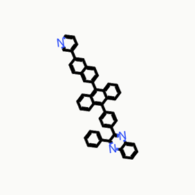 c1ccc(-c2nc3ccccc3nc2-c2ccc(-c3c4ccccc4c(-c4ccc5cc(-c6cccnc6)ccc5c4)c4ccccc34)cc2)cc1